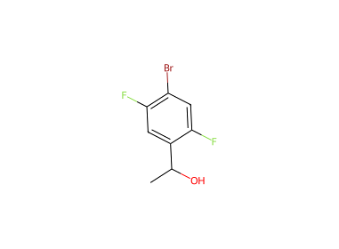 CC(O)c1cc(F)c(Br)cc1F